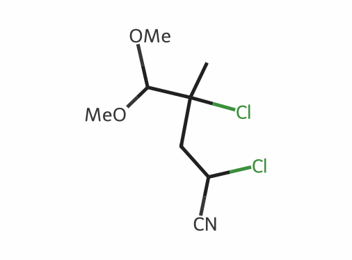 COC(OC)C(C)(Cl)CC(Cl)C#N